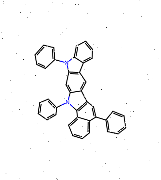 c1ccc(-c2cc3c4cc5c6ccccc6n(-c6ccccc6)c5cc4n(-c4ccccc4)c3c3ccccc23)cc1